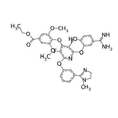 CCOC(=O)c1cc(OC)c(Oc2c(F)c(Oc3cccc(C4=NCCN4C)c3)nc(Oc3cc(C(=N)N)ccc3O)c2F)c(OC)c1